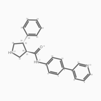 O=C(Nc1ccc(-c2cccnc2)cc1)[C@H]1CNC[C@@H]1c1ccccc1